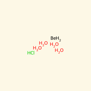 Cl.O.O.O.O.[BeH2]